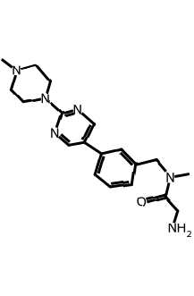 CN1CCN(c2ncc(-c3cccc(CN(C)C(=O)CN)c3)cn2)CC1